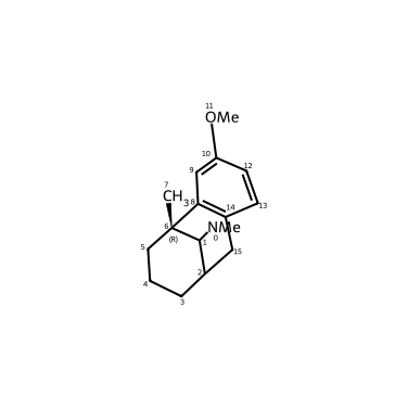 CNC1C2CCC[C@]1(C)c1cc(OC)ccc1C2